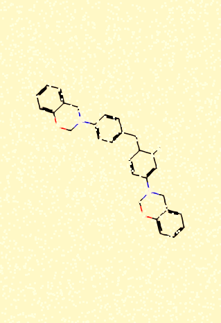 CC1C=C(N2COc3ccccc3C2)C=CC1Cc1ccc(N2COc3ccccc3C2)cc1